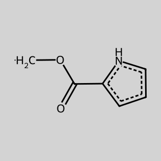 [CH2]OC(=O)c1ccc[nH]1